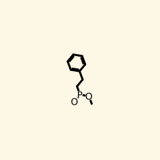 CO[P](=O)CCc1ccccc1